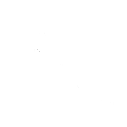 C=C(/C=C\C)C(O)NCCOCCOCCC(C)(C)N